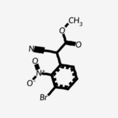 COC(=O)C(C#N)c1cccc(Br)c1[N+](=O)[O-]